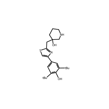 CC(C)(C)c1cc(-c2csc(CC3(O)CCCNC3)n2)cc(C(C)(C)C)c1O